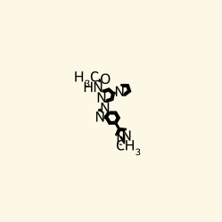 CC(=O)Nc1cc(-n2cccc2)cc(-n2cnc3cc(-c4cnn(C)c4)ccc32)n1